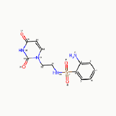 Nc1ccccc1S(=O)(=O)NCCn1ccc(=O)[nH]c1=O